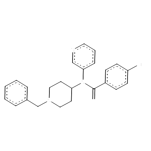 Cc1ccc(C(=O)N(c2cccnc2)C2CCN(Cc3ccccc3)CC2)cc1